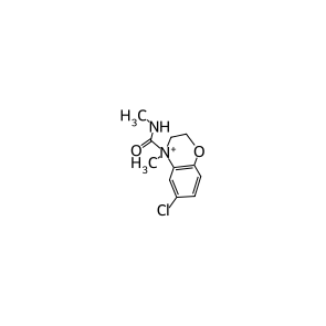 CNC(=O)[N+]1(C)CCOc2ccc(Cl)cc21